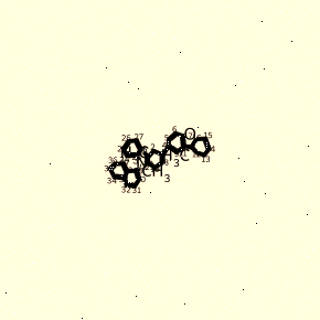 CC1CC(c2ccc3c(c2)C2(C)CCC=CC2O3)=CCC1(C)N(c1ccccc1)c1cccc2ccccc12